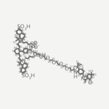 Cc1nn(-c2ccc(C(=O)N(C)C)c(NCCCOCCOCCOCCOCCOCCCNCc3ccc(C4=C(/C=C/C5=[N+](CCCCS(=O)(=O)[O-])c6ccc7cc(S(=O)(=O)O)ccc7c6C5(C)C)CCC/C4=C\C=C4/N(CCCCS(=O)(=O)O)c5ccc6cc(S(=O)(=O)O)ccc6c5C4(C)C)cc3)c2)c2c1C(=O)CC(C)(C)C2